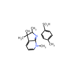 CC1N=C2C(=CC=CN2C)C1(C)C.Cc1ccc(S(=O)(=O)O)cc1